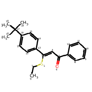 CCS/C(=C\C(=O)c1ccccc1)c1ccc(C(C)(C)C)cc1